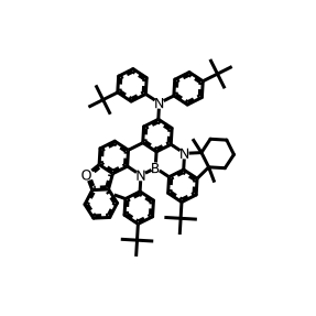 Cc1cc(C(C)(C)C)ccc1N1B2c3cc(C(C)(C)C)cc4c3N(c3cc(N(c5ccc(C(C)(C)C)cc5)c5cccc(C(C)(C)C)c5)cc(c32)-c2ccc3oc5ccccc5c3c21)C1(C)CCCCC41C